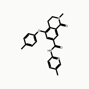 Cc1ccc(Oc2cc(C(=O)Nc3ccc(C)cn3)cc3c2CCN(C)C3=O)cc1